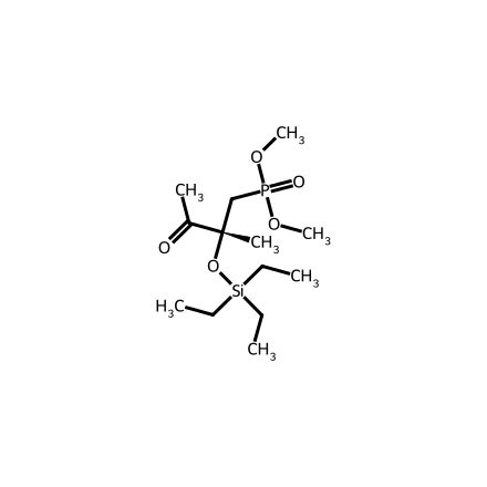 CC[Si](CC)(CC)O[C@@](C)(CP(=O)(OC)OC)C(C)=O